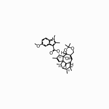 COc1ccc2c(c1)c(C(=O)O[C@H]1C(C)=C[C@]34C(=O)[C@@H](C=C5COC(C)(C)O[C@H]5[C@]13O)C(C)(C)[C@@H](C)C[C@H]4C)c(C)n2C